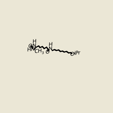 CC(C)OCCCCCCCCCCNC(=O)CCCCCC1NC(=O)NC1C